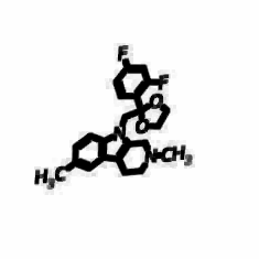 Cc1ccc2c(c1)c1c(n2CC2(c3ccc(F)cc3F)OCCO2)CN(C)CC1